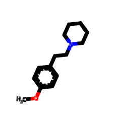 COc1ccc(CCN2CC[CH]CC2)cc1